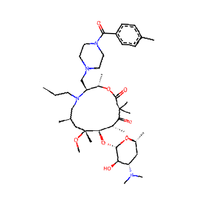 CCCN1C[C@H](C)C[C@@](C)(OC)[C@H](O[C@@H]2O[C@H](C)C[C@H](N(C)C)[C@H]2O)[C@@H](C)C(=O)C(C)(C)C(=O)O[C@@H](C)[C@@H]1CN1CCN(C(=O)c2ccc(C)cc2)CC1